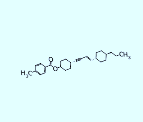 CCC[C@H]1CC[C@H](/C=C/C#C[C@H]2CC[C@H](OC(=O)c3ccc(C)cc3)CC2)CC1